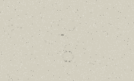 CCCCCC(/C=N\O)C(=O)OCc1ccccc1